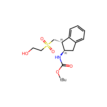 CC(C)(C)OC(=O)N[C@@H]1Cc2ccccc2[C@H]1CS(=O)(=O)CCO